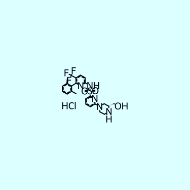 Cc1cccc(C)c1-c1nc(NS(=O)(=O)c2cccc(N3CCN[C@@H](CO)C3)n2)ccc1C(F)(F)F.Cl